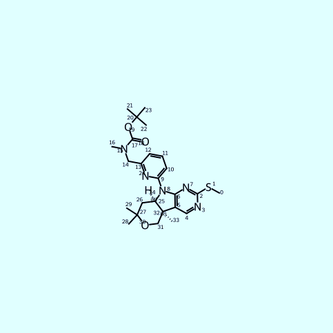 CSc1ncc2c(n1)N(c1cccc(CN(C)C(=O)OC(C)(C)C)n1)[C@@H]1CC(C)(C)OC[C@]21C